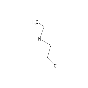 CC[N]CCCl